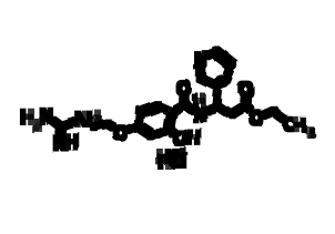 CCOC(=O)CC(NC(=O)c1ccc(OCCNC(=N)N)cc1O)c1cccnc1.Cl.Cl